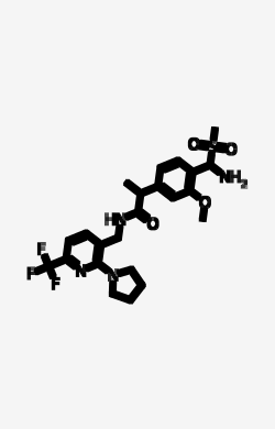 COc1cc(C(C)C(=O)NCc2ccc(C(F)(F)F)nc2N2CCCC2)ccc1C(N)S(C)(=O)=O